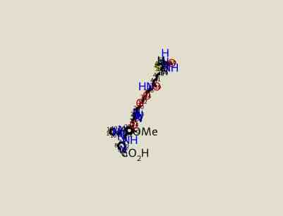 COc1cc2c(N[C@@H]3CCCN(C(=O)O)C3)nc(N3CCCC3)nc2cc1OCc1cn(CCOCCOCCNC(=O)CCCC[C@@H]2SC[C@@H]3NC(=O)N[C@@H]32)nn1